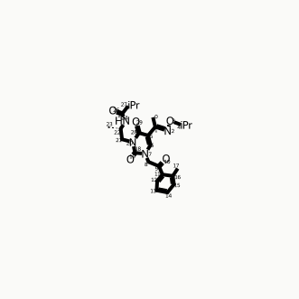 C/C(=N\OC(C)C)c1cn(CC(=O)c2ccccc2C)c(=O)n(C[C@H](C)NC(=O)C(C)C)c1=O